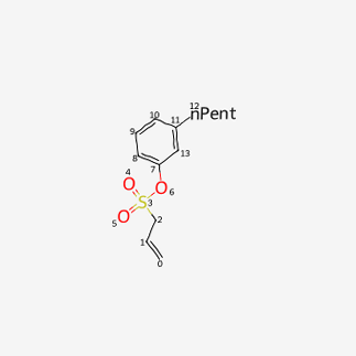 C=CCS(=O)(=O)Oc1cccc(CCCCC)c1